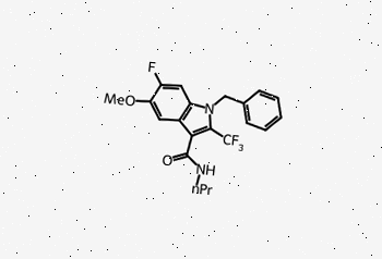 CCCNC(=O)c1c(C(F)(F)F)n(Cc2ccccc2)c2cc(F)c(OC)cc12